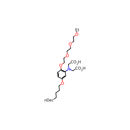 CCCCCCCCCCCCCCOc1ccc(OCCOCCOCCOCC)c(N(CC(=O)O)CC(=O)O)c1